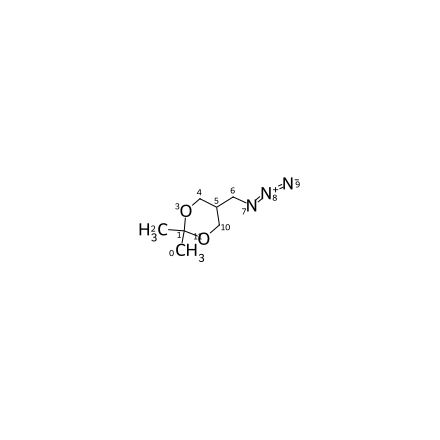 CC1(C)OCC(CN=[N+]=[N-])CO1